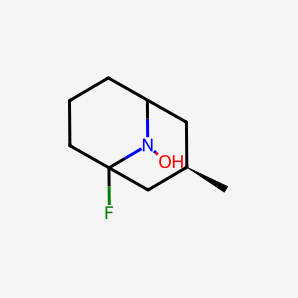 C[C@@H]1CC2CCCC(F)(C1)N2O